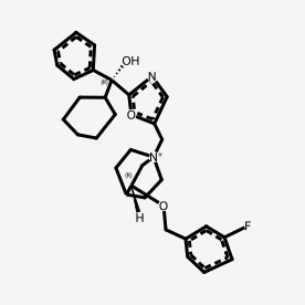 O[C@](c1ccccc1)(c1ncc(C[N+]23CCC(CC2)[C@@H](OCc2cccc(F)c2)C3)o1)C1CCCCC1